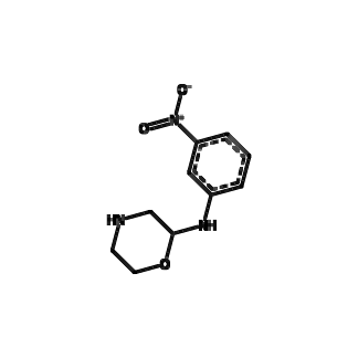 O=[N+]([O-])c1cccc(NC2CNCCO2)c1